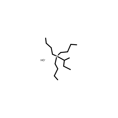 CCCC[N+](CCCC)(CCCC)C(C)CC.[OH-]